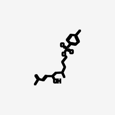 C=C(C)C=CC(O)CC(C)CCCOS(=O)(=O)c1ccc(C)cc1